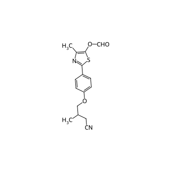 Cc1nc(-c2ccc(OCC(C)CC#N)cc2)sc1OC=O